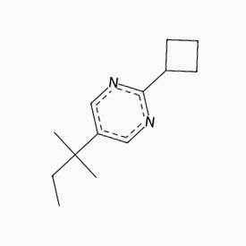 CCC(C)(C)c1cnc(C2CCC2)nc1